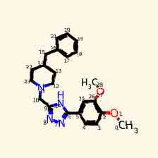 COc1ccc(-c2nnc(CN3CCC(Cc4ccccc4)CC3)[nH]2)cc1OC